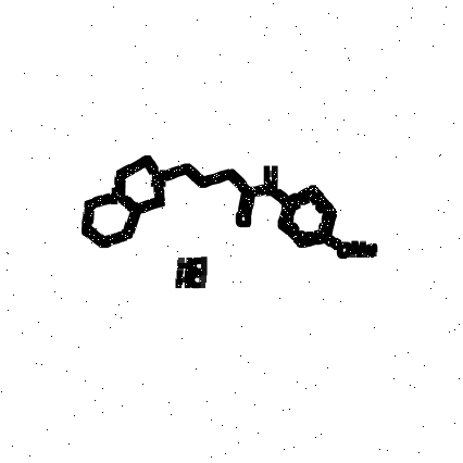 COc1ccc(NC(=O)CCCN2CCN3CCCCC3C2)cc1.Cl.Cl